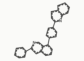 c1ccc(-c2cc3cccc(-c4ccc(-c5ccc6ccccc6n5)cc4)c3cn2)cc1